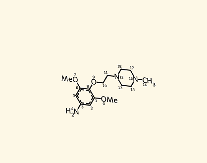 COc1cc(N)cc(OC)c1OCCN1CCN(C)CC1